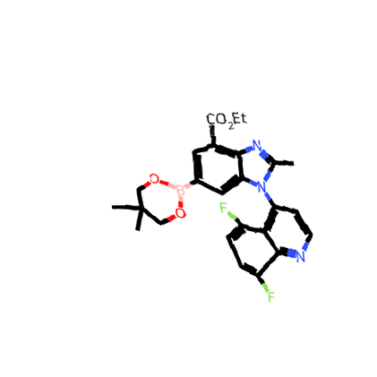 CCOC(=O)c1cc(B2OCC(C)(C)CO2)cc2c1nc(C)n2-c1ccnc2c(F)ccc(F)c12